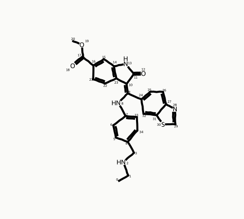 CCNCc1ccc(NC(=C2C(=O)Nc3cc(C(=O)OC)ccc32)c2ccc3ncsc3c2)cc1